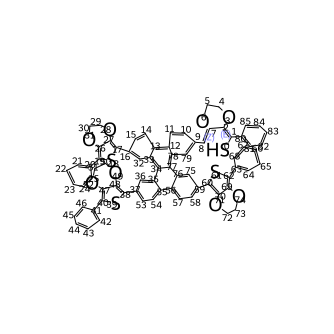 S/C(=C1/OCCO/C1=C\c1ccc2c3ccc(-c4sc(-c5ccccc5)c5c4OCCO5)cc3c3c4cc(-c5sc(-c6ccccc6)c6c5OCCO6)ccc4c4ccc(-c5sc(-c6ccccc6)c6c5OCCO6)cc4c3c2c1)c1ccccc1